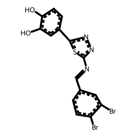 Oc1ccc(-c2nnc(N=Cc3ccc(Br)c(Br)c3)s2)cc1O